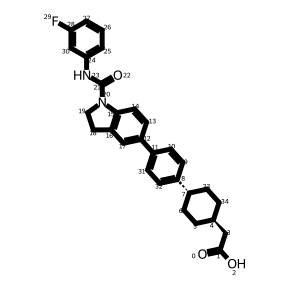 O=C(O)C[C@H]1CC[C@H](c2ccc(-c3ccc4c(c3)CCN4C(=O)Nc3cccc(F)c3)cc2)CC1